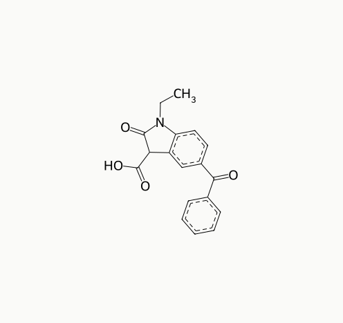 CCN1C(=O)C(C(=O)O)c2cc(C(=O)c3ccccc3)ccc21